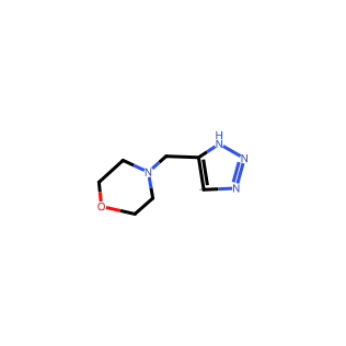 [c]1nn[nH]c1CN1CCOCC1